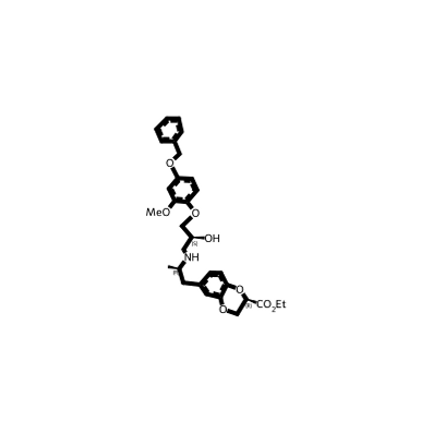 CCOC(=O)[C@H]1COc2cc(C[C@@H](C)NC[C@H](O)COc3ccc(OCc4ccccc4)cc3OC)ccc2O1